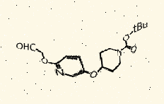 CC(C)(C)OC(=O)N1CCC(Oc2ccc(OCC=O)nc2)CC1